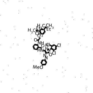 CCC(C)(C)c1ccc(OCC(=O)Nc2ccccc2C(=O)Nc2[nH]n(-c3c(Cl)cc(Cl)cc3Cl)c(=O)c2/N=N/c2ccc(OC)cc2)c(C(C)(C)CC)c1